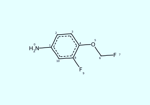 Nc1ccc(OCF)c(F)c1